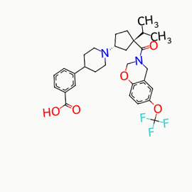 CC(C)[C@]1(C(=O)N2COc3ccc(OC(F)(F)F)cc3C2)CC[C@@H](N2CCC(c3cccc(C(=O)O)c3)CC2)C1